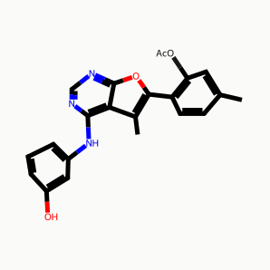 CC(=O)Oc1cc(C)ccc1-c1oc2ncnc(Nc3cccc(O)c3)c2c1C